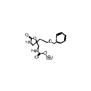 CC(C)(C)OC(=O)NCC1(CCOCc2ccccc2)CNC(=O)O1